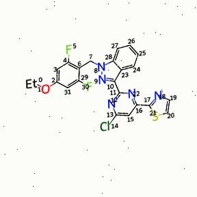 CCOc1cc(F)c(Cn2nc(-c3nc(Cl)cc(-c4nccs4)n3)c3ccccc32)c(F)c1